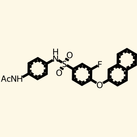 CC(=O)Nc1ccc(NS(=O)(=O)c2ccc(Oc3ccc4ccccc4c3)c(F)c2)cc1